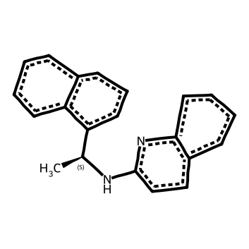 C[C@H](Nc1ccc2ccccc2n1)c1cccc2ccccc12